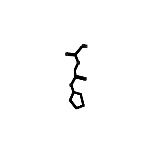 CCC(C)C(=O)OCC(=O)OC1CCCC1